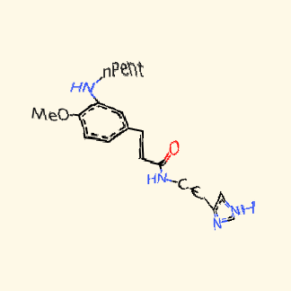 CCCCCNc1cc(C=CC(=O)NCCc2c[nH]cn2)ccc1OC